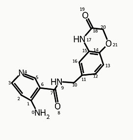 Nc1ccncc1C(=O)NCc1ccc2c(c1)NC(=O)CO2